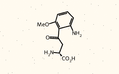 COc1cccc(N)c1C(=O)C[C@H](N)C(=O)O